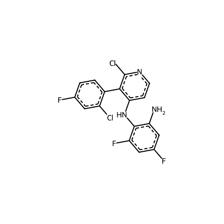 Nc1cc(F)cc(F)c1Nc1ccnc(Cl)c1-c1ccc(F)cc1Cl